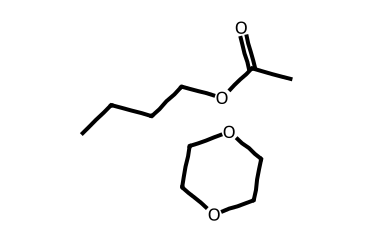 C1COCCO1.CCCCOC(C)=O